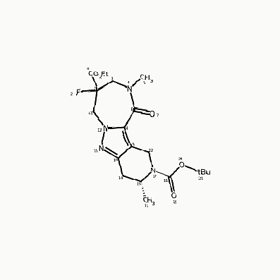 CCOC(=O)C1(F)CN(C)C(=O)c2c3c(nn2C1)C[C@@H](C)N(C(=O)OC(C)(C)C)C3